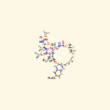 COc1ccc2nc3c(nc2c1)O[C@H]1CN(C(=O)[C@H](C(C)(C)C)NC(=O)O[C@@H]2C[C@H]2CCCCC3)[C@H](C(=O)N[C@]2(C(=O)NS(=O)(=O)C3CC3)C[C@H]2CC(F)F)[C@@H]1C